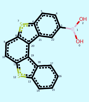 OB(O)c1ccc2sc3ccc4sc5ccccc5c4c3c2c1